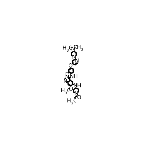 C=CC(=O)N1CCC(Nc2cc3c(Nc4ccc(Oc5ccnc(N6CCC(N(C)C)CC6)c5)cc4F)ncnc3cc2OC)CC1